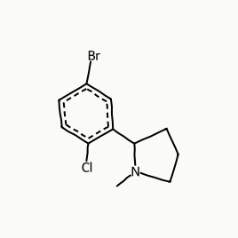 CN1CCCC1c1cc(Br)ccc1Cl